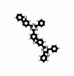 c1ccc(-c2nc(-c3ccc4c(c3)oc3ccccc34)nc(-c3ccc4oc5cc(-c6nc(-c7ccccc7)c7oc8ccccc8c7n6)ccc5c4c3)n2)cc1